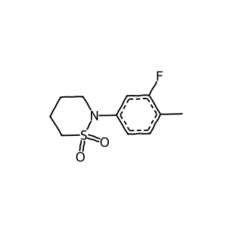 Cc1ccc(N2CCCCS2(=O)=O)cc1F